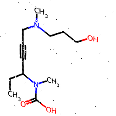 CCC(C#CCN(C)CCCO)N(C)C(=O)O